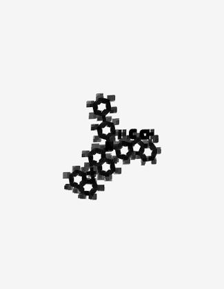 CC1(C)c2ccccc2-c2ccc(N(c3ccc(-c4ccccc4)cc3)c3ccc4c5c(cccc35)C43c4cccc5cccc3c45)cc21